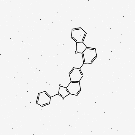 c1ccc(-c2nc3ccc4cc(-c5cccc6c5oc5ccccc56)ccc4c3s2)cc1